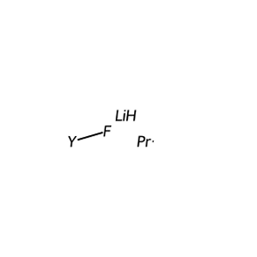 [F][Y].[LiH].[Pr]